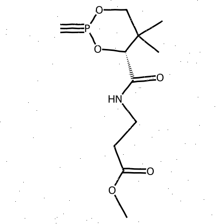 C#P1OCC(C)(C)[C@H](C(=O)NCCC(=O)OC)O1